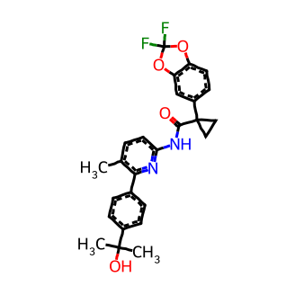 Cc1ccc(NC(=O)C2(c3ccc4c(c3)OC(F)(F)O4)CC2)nc1-c1ccc(C(C)(C)O)cc1